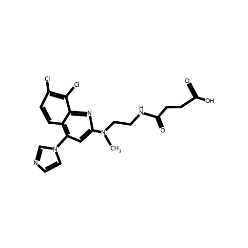 CN(CCNC(=O)CCC(=O)O)c1cc(-n2ccnc2)c2ccc(Cl)c(Cl)c2n1